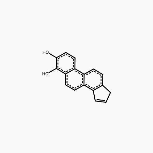 Oc1ccc2c(ccc3c4c(ccc32)CC=C4)c1O